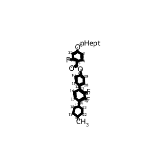 CCCCCCCOc1ccc(C(=O)Oc2ccc(-c3ccc(C4CCC(C)CC4)c(F)c3F)cc2)c(F)c1